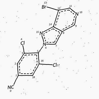 N#Cc1cc(Cl)c(-n2cc3cncc(Br)c3n2)c(Cl)c1